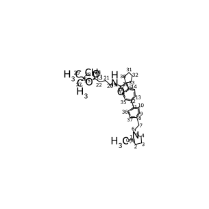 C[C@@H]1CCCN1CCc1ccc(-c2ccc(C3(C(=O)NCCCC(=O)OC(C)(C)C)CCCC3)cc2)cc1